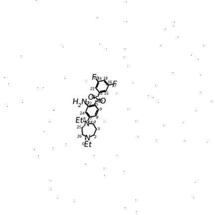 CCN1CCC[N+](CC)(c2ccc(S(=O)(=O)c3cc(F)cc(F)c3)c(N)c2)CC1